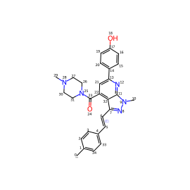 [CH]c1ccc(/C=C/c2nn(C)c3nc(-c4ccc(O)cc4)cc(C(=O)N4CCN(C)CC4)c23)cc1